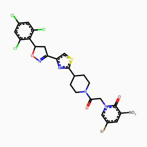 O=C(Cn1cc(Br)cc([N+](=O)[O-])c1=O)N1CCC(c2nc(C3=NOC(c4c(Cl)cc(Cl)cc4Cl)C3)cs2)CC1